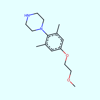 COCCOc1cc(C)c(N2CCNCC2)c(C)c1